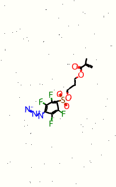 C=C(C)C(=O)OCCCOS(=O)(=O)c1c(F)c(F)c(N=[N+]=[N-])c(F)c1F